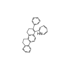 C1=CC=C(C2=C(c3ccccc3)CCc3c2ccc2c3CCc3ccccc3-2)NC=C1